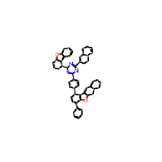 c1ccc(-c2ccc(-c3ccc(-c4nc(-c5ccc6ccccc6c5)nc(-c5cccc6oc7ccccc7c56)n4)cc3)c3c2oc2cc4ccccc4cc23)cc1